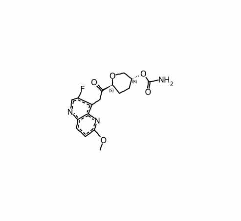 COc1ccc2ncc(F)c(CC(=O)[C@@H]3CC[C@@H](OC(N)=O)CO3)c2n1